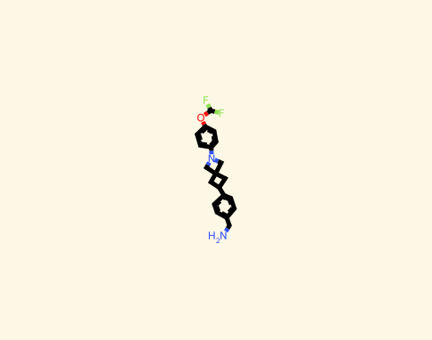 NCc1ccc(C2CC3(C2)CN(c2ccc(OC(F)F)cc2)C3)cc1